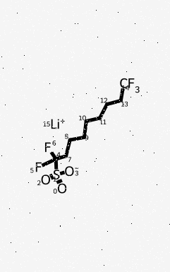 O=S(=O)([O-])C(F)(F)CCCCCCCC(F)(F)F.[Li+]